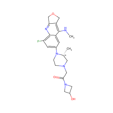 CNc1c2c(nc3c(F)cc(N4CCN(CC(=O)N5CC(O)C5)C[C@H]4C)cc13)COC2